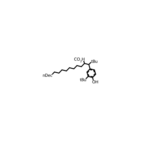 CCCCCCCCCCCCCCCCCCC(C(=O)O)C(c1ccc(O)c(C(C)(C)C)c1)C(C)(C)C